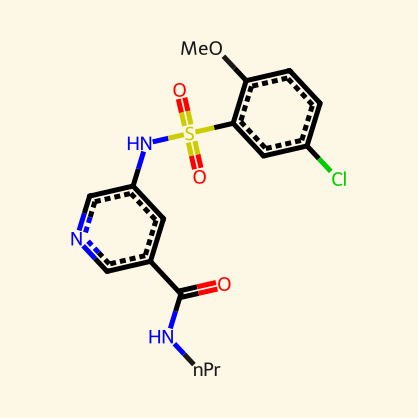 CCCNC(=O)c1cncc(NS(=O)(=O)c2cc(Cl)ccc2OC)c1